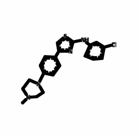 CN1CCN(c2ccc(-c3csc(Nc4cccc(Cl)c4)n3)cc2)CC1